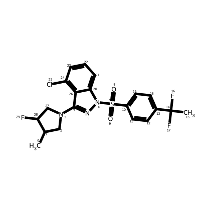 CC1CN(c2nn(S(=O)(=O)c3ccc(C(C)(F)F)cc3)c3cccc(Cl)c23)CC1F